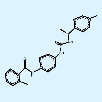 Cc1ccc([C@H](C)NC(=S)Nc2ccc(NC(=O)c3ccccc3F)cc2)cc1